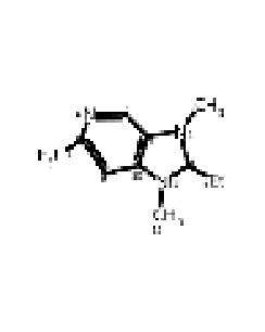 CCC1N(C)c2cnc(C(F)(F)F)cc2N1C